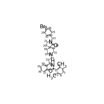 Cc1cccc(C)c1C(=O)NC(CCN1CCC2(CC1)CCN(Cc1ccc(Br)cc1)C2=O)c1ccccc1